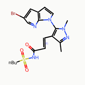 CCCCS(=O)(=O)NC(=O)/C=C/c1c(C)nn(C)c1-n1ccc2cc(Br)cnc21